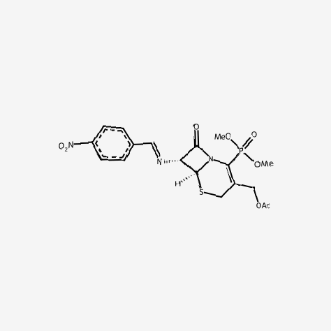 COP(=O)(OC)C1=C(COC(C)=O)CS[C@H]2[C@H](N=Cc3ccc([N+](=O)[O-])cc3)C(=O)N12